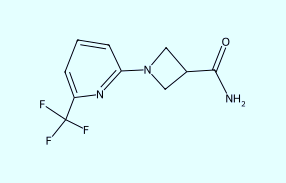 NC(=O)C1CN(c2cccc(C(F)(F)F)n2)C1